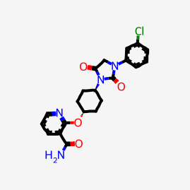 NC(=O)c1cccnc1O[C@H]1CC[C@H](N2C(=O)CN(c3cccc(Cl)c3)C2=O)CC1